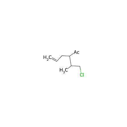 C=CCC(C(C)=O)C(C)CCl